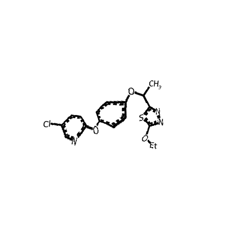 CCOc1nnc(C(C)Oc2ccc(Oc3ccc(Cl)cn3)cc2)s1